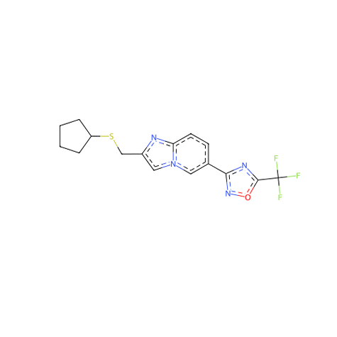 FC(F)(F)c1nc(-c2ccc3nc(CSC4CCCC4)cn3c2)no1